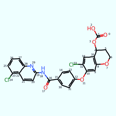 O=C(O)OC1CCOc2cc(Oc3ccc(C(=O)Nc4ccc5c(Cl)cccc5n4)cc3)c(Cl)cc21